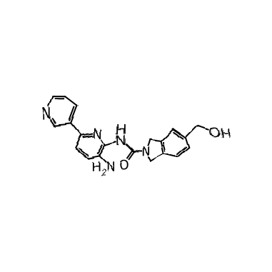 Nc1ccc(-c2cccnc2)nc1NC(=O)N1Cc2ccc(CO)cc2C1